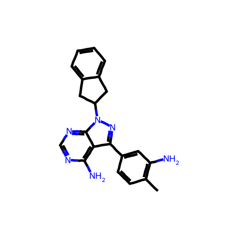 Cc1ccc(-c2nn(C3Cc4ccccc4C3)c3ncnc(N)c23)cc1N